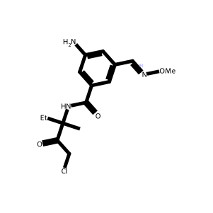 CCC(C)(NC(=O)c1cc(N)cc(/C=N/OC)c1)C(=O)CCl